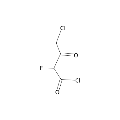 O=C(Cl)C(F)C(=O)CCl